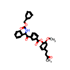 COc1cc(CCC(C)=O)ccc1OC(=O)c1cccc(C(=O)C(NC(=O)OCc2ccccc2)c2ccccc2)c1